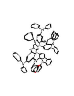 c1ccc(N(c2ccccc2)c2cc3c4c(c2)N(c2ccccc2)c2c(ccc5c6ccccc6n(-c6ccccc6)c25)B4c2cc4c(cc2S3)N(c2ccccc2)c2cc(N(c3ccccc3)c3ccccc3)cc3c2B4c2ccc4c5ccccc5n(-c5ccccc5)c4c2N3c2ccccc2)cc1